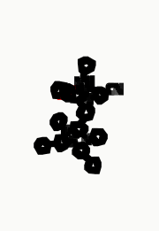 N#Cc1ccc(-n2c3ccc(-c4ccccc4)cc3c3cc(-c4cc5c6c(c4)N(c4ccccc4)c4cc(-c7ccccc7)ccc4B6c4ccc(-c6ccccc6)cc4N5c4ccccc4)ccc32)c(-c2nc(-c3ccccc3)nc(-c3ccccc3)n2)c1